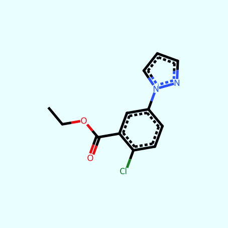 CCOC(=O)c1cc(-n2cccn2)ccc1Cl